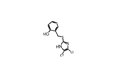 Oc1ccccc1CSc1nc(Cl)c(Cl)[nH]1